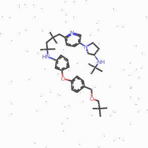 CC(C)(C)COCc1ccc(Oc2cccc(NC(C)(C)CC(C)(C)Cc3ccc(N4CC[C@@H](NC(C)(C)C)C4)cn3)c2)cc1